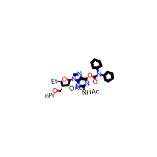 CCCOC[C@H]1[C@@H](OC(C)=O)[C@H](n2cnc3c(OC(=O)N(c4ccccc4)c4ccccc4)nc(NC(C)=O)nc32)O[C@@H]1CC